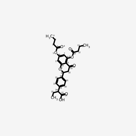 CCCC(=O)Oc1cc(OC(=O)CCC)c2c(c1)OC(c1ccc(C(CC)C(=O)O)cc1)CC2=O